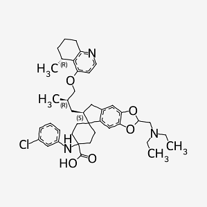 CCN(CC)CC1Oc2cc3c(cc2O1)C1(CCC(Nc2cccc(Cl)c2)(C(=O)O)CC1)[C@@H](C[C@@H](C)COc1ccnc2c1[C@H](C)CCC2)C3